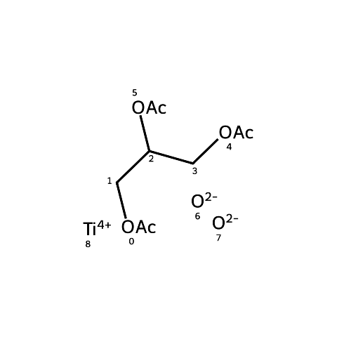 CC(=O)OCC(COC(C)=O)OC(C)=O.[O-2].[O-2].[Ti+4]